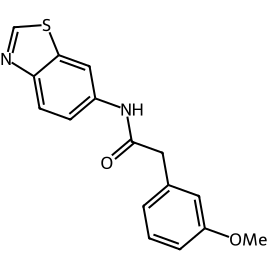 COc1cccc(CC(=O)Nc2ccc3ncsc3c2)c1